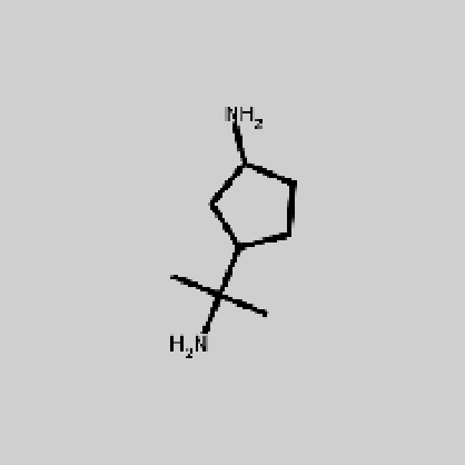 CC(C)(N)C1CCC(N)C1